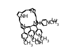 CN1C=CC(C2=Cc3cc4ccc(cc5nc(cc6[nH]c(c(C7=CCN(C)C=C7)c2n3)c(C2=CCN(C)C=C2)c6C2=CCN(C)C=C2)C=C5)[nH]4)=CC1.Cl.[Lu]